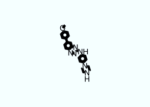 COc1ccc(-c2ccc3nnc(Nc4ccc(N5CCNCC5)cc4)nc3c2)cc1